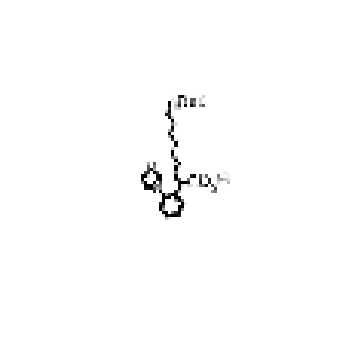 CCCCCCCCCCCCCCCCCC(C(=O)O)c1ccccc1-n1ccnc1